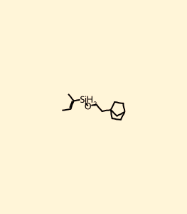 CC=C(C)[SiH2]OCCC12CCC(CC1)C2